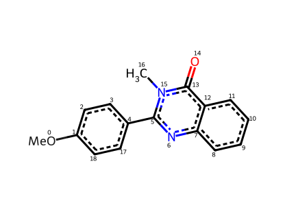 COc1ccc(-c2nc3ccccc3c(=O)n2C)cc1